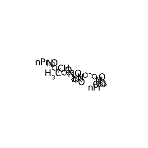 CCCN1COc2cc(C(C)(C)c3ccc4c(c3)OCN(CC35C=CC(O3)C3C(=O)N(c6ccc(Cc7ccc(N8C(=O)C9C%10C=CC(CCC)(O%10)C9C8=O)cc7)cc6)C(=O)C35)C4)ccc2C1